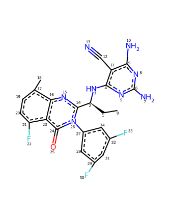 CC[C@H](Nc1nc(N)nc(N)c1C#N)c1nc2c(C)ccc(F)c2c(=O)n1-c1cc(F)cc(F)c1